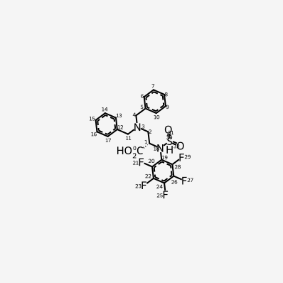 O=C(O)[C@H](CN(Cc1ccccc1)Cc1ccccc1)N(c1c(F)c(F)c(F)c(F)c1F)[SH](=O)=O